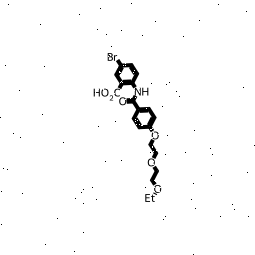 CCOCCOCCOc1ccc(C(=O)Nc2ccc(Br)cc2C(=O)O)cc1